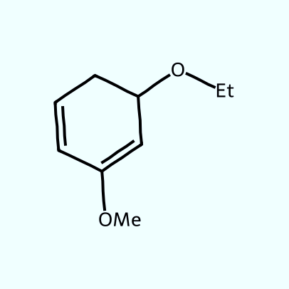 CCOC1C=C(OC)C=CC1